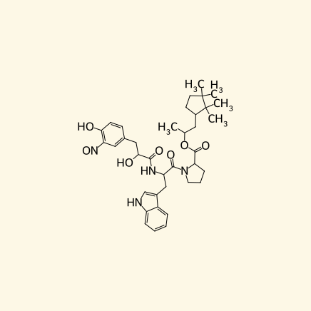 CC(CC1CCC(C)(C)C1(C)C)OC(=O)C1CCCN1C(=O)C(Cc1c[nH]c2ccccc12)NC(=O)C(O)Cc1ccc(O)c(N=O)c1